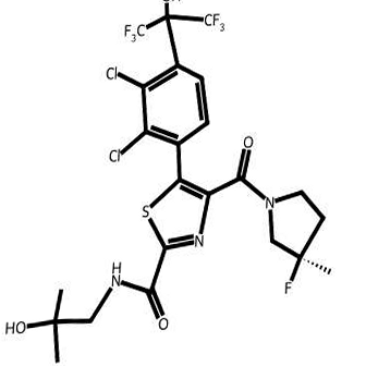 CC(C)(O)CNC(=O)c1nc(C(=O)N2CC[C@@](C)(F)C2)c(-c2ccc(C(O)(C(F)(F)F)C(F)(F)F)c(Cl)c2Cl)s1